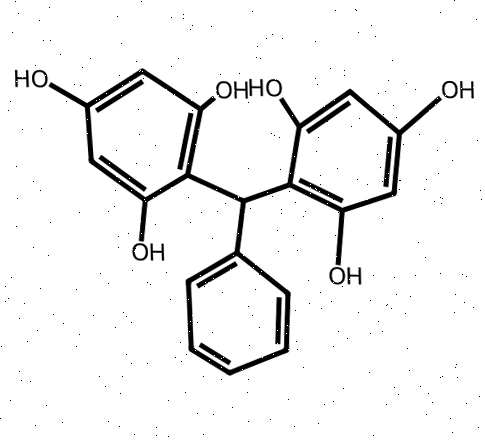 Oc1cc(O)c(C(c2ccccc2)c2c(O)cc(O)cc2O)c(O)c1